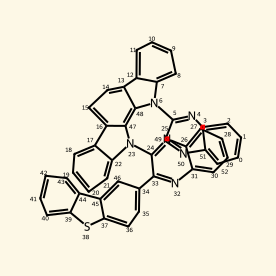 c1ccc2nc(-n3c4ccccc4c4ccc5c6ccccc6n(-c6nc7ccccc7nc6-c6ccc7sc8ccccc8c7c6)c5c43)cnc2c1